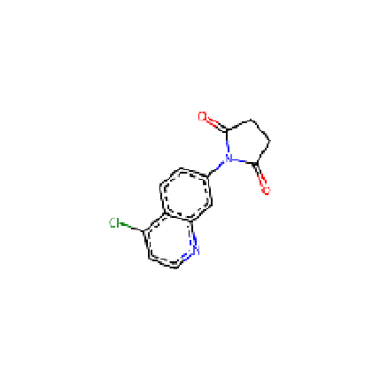 O=C1CCC(=O)N1c1ccc2c(Cl)ccnc2c1